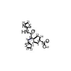 CO[N+](=O)c1ccc(/C(=C\c2cccs2)C(=O)Nc2nccs2)cc1